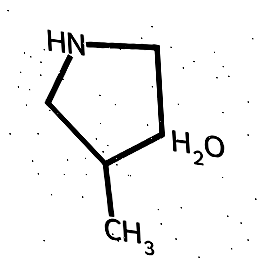 CC1CCNC1.O